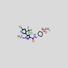 CCn1nc(C(=O)NC[C@H]2CC[C@@H](S(C)(=O)=O)CC2)c(Cl)c1-c1cnc(Cl)cc1C(F)(F)F